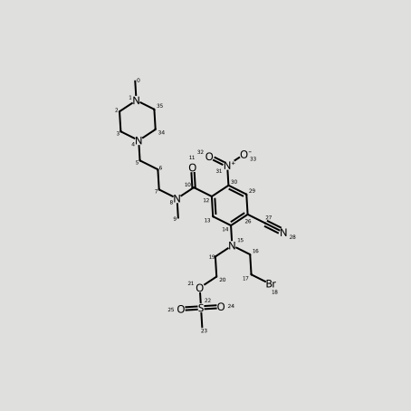 CN1CCN(CCCN(C)C(=O)c2cc(N(CCBr)CCOS(C)(=O)=O)c(C#N)cc2[N+](=O)[O-])CC1